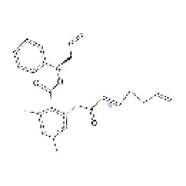 C=CCC/C=C/C(=O)Cc1cc(C)cc(C)c1C(=O)O[C@H](CC=C)c1ccccc1